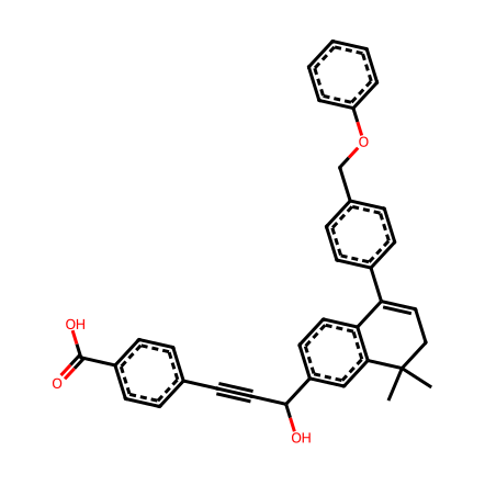 CC1(C)CC=C(c2ccc(COc3ccccc3)cc2)c2ccc(C(O)C#Cc3ccc(C(=O)O)cc3)cc21